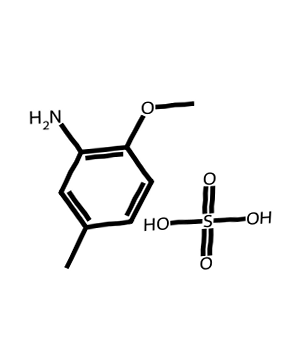 COc1ccc(C)cc1N.O=S(=O)(O)O